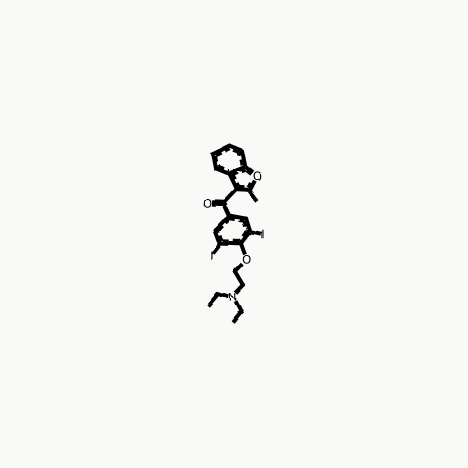 CCN(CC)CCOc1c(I)cc(C(=O)c2c(C)oc3ccccc23)cc1I